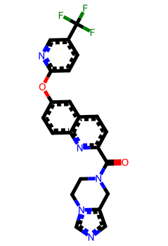 O=C(c1ccc2cc(Oc3ccc(C(F)(F)F)cn3)ccc2n1)N1CCn2cncc2C1